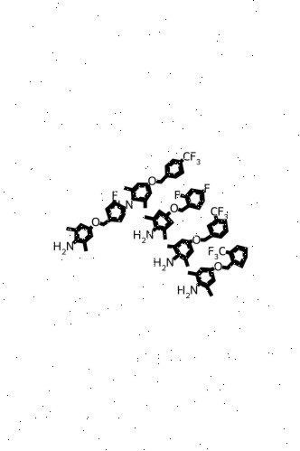 Cc1cc(OCc2ccc(C(F)(F)F)cc2)cc(C)c1N.Cc1cc(OCc2ccc(F)cc2F)cc(C)c1N.Cc1cc(OCc2cccc(C(F)(F)F)c2)cc(C)c1N.Cc1cc(OCc2cccc(F)c2)cc(C)c1N.Cc1cc(OCc2ccccc2C(F)(F)F)cc(C)c1N